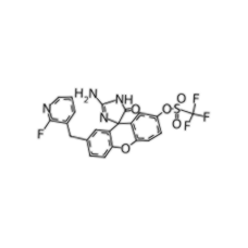 NC1=NC2(C(=O)N1)c1cc(Cc3cccnc3F)ccc1Oc1ccc(OS(=O)(=O)C(F)(F)F)cc12